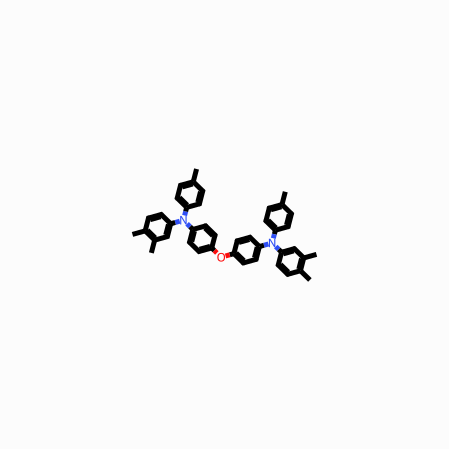 Cc1ccc(N(c2ccc(Oc3ccc(N(c4ccc(C)cc4)c4ccc(C)c(C)c4)cc3)cc2)c2ccc(C)c(C)c2)cc1